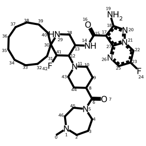 CN1CCCN(C(=O)C2CCN(C3C(NC(=O)c4c(N)nn5cc(F)cnc45)CNC4(CCCCCCCCCC4)C3F)CC2)CC1